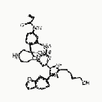 C=CC(=O)Nc1ccc(C2(OC)CNCCO2)c(Nc2nccc(-c3[nH]c(CCCO)nc3-c3ccc4ccoc4c3)n2)c1